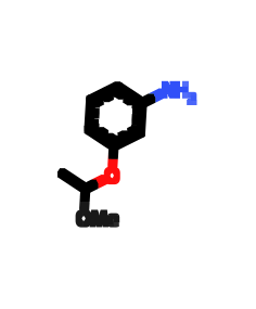 COC(C)Oc1cccc(N)c1